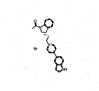 CC(=O)N1C[C@@H](CC[n+]2ccc(-c3ccc4[nH]ccc4c3)cc2)c2ccccc21.[Br-]